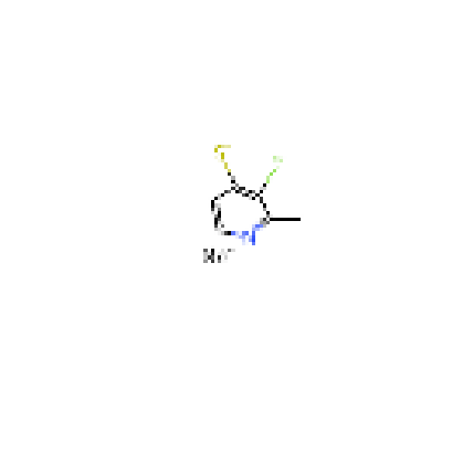 Cc1nccc([S-])c1F.[Na+]